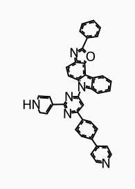 C1=CC(c2nc(-c3ccc(-c4ccncc4)cc3)cc(-n3c4ccccc4c4c5oc(-c6ccccc6)nc5ccc43)n2)=CCN1